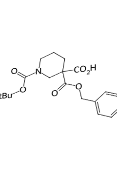 CC(C)(C)OC(=O)N1CCCC(C(=O)O)(C(=O)OCc2ccccc2)C1